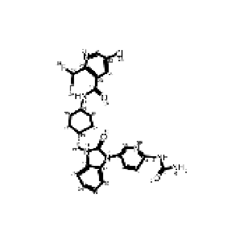 NC(=O)Nc1ccc(-n2c(=O)n(C[C@H]3CC[C@H](NC(=O)c4cc(Cl)cnc4C(F)F)CC3)c3ccccc32)cn1